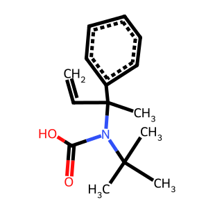 C=CC(C)(c1ccccc1)N(C(=O)O)C(C)(C)C